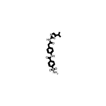 CC(C)c1cnc(NC(=O)Cc2ccc(NC(=O)c3ccc(S(N)(=O)=O)cc3)cc2)s1